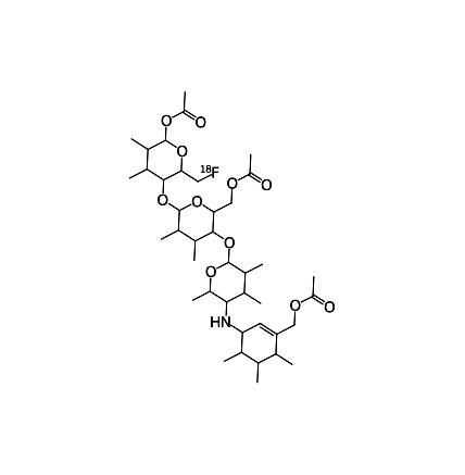 CC(=O)OCC1=CC(NC2C(C)OC(OC3C(COC(C)=O)OC(OC4C(C[18F])OC(OC(C)=O)C(C)C4C)C(C)C3C)C(C)C2C)C(C)C(C)C1C